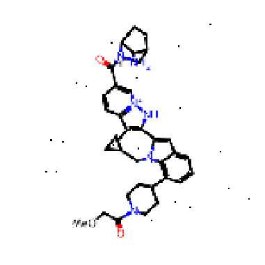 COCC(=O)N1CCC(c2cccc3cc(-c4[nH][n+]5cc(C(=O)N6CC7CCC6[C@@H]7N)ccc5c4C)n(CC4CC4)c23)CC1